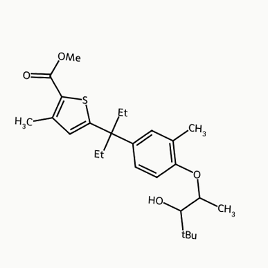 CCC(CC)(c1ccc(OC(C)C(O)C(C)(C)C)c(C)c1)c1cc(C)c(C(=O)OC)s1